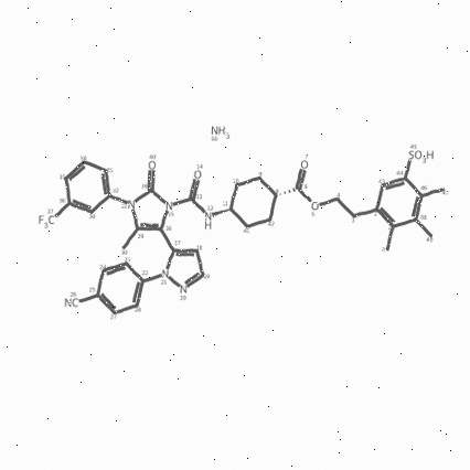 Cc1c(CCOC(=O)[C@H]2CC[C@H](NC(=O)n3c(-c4ccnn4-c4ccc(C#N)cc4)c(C)n(-c4cccc(C(F)(F)F)c4)c3=O)CC2)cc(S(=O)(=O)O)c(C)c1C.N